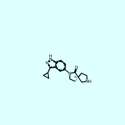 O=C1N(c2ccc3[nH]nc(C4CC4)c3c2)CC[C@@]12CCNC2